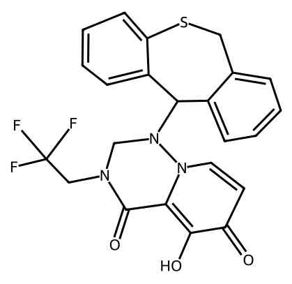 O=C1c2c(O)c(=O)ccn2N(C2c3ccccc3CSc3ccccc32)CN1CC(F)(F)F